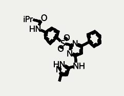 Cc1cc(Nc2cc(-c3ccccc3)nc(S(=O)(=O)c3ccc(NC(=O)C(C)C)cc3)n2)[nH]n1